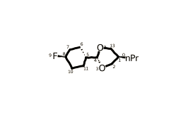 CCC[C@H]1CO[C@H]([C@H]2CC[C@H](F)CC2)OC1